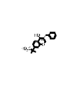 CC(C)(C(=O)O)c1ccc2c(c1)OC[C@@H](Cc1ccccc1)[C@@H]2O